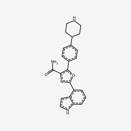 NC(=O)c1nc(-c2cccc3[nH]ccc23)oc1-c1ccc(N2CCNCC2)cc1